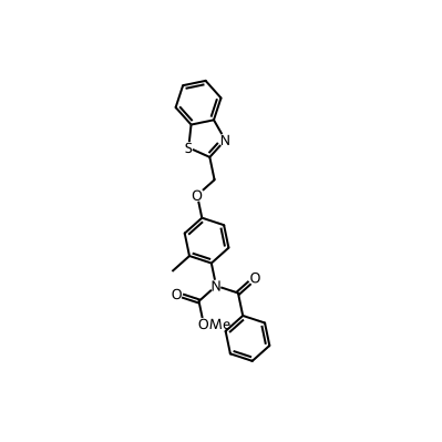 COC(=O)N(C(=O)c1ccccc1)c1ccc(OCc2nc3ccccc3s2)cc1C